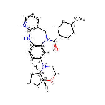 CO[C@H]1CC[C@H](C(=O)N2Cc3cccnc3Nc3ccc(N4CCO[C@@H]5CCC[C@H]54)cc32)CC1